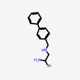 CC(C)C(N)CNCc1ccc(-c2ccccc2)cc1